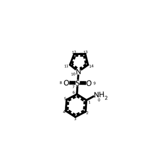 Nc1ccccc1S(=O)(=O)n1cccc1